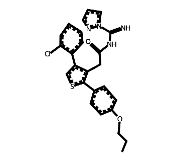 CCCOc1ccc(-c2scc(-c3ccccc3Cl)c2CC(=O)NC(=N)n2cccn2)cc1